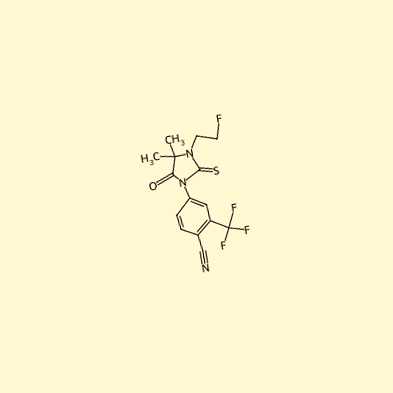 CC1(C)C(=O)N(c2ccc(C#N)c(C(F)(F)F)c2)C(=S)N1CCF